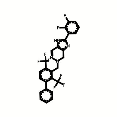 Fc1cccc(-c2nc3c([nH]2)C=NN(Cc2c(C(F)(F)F)ccc(-c4ccccc4)c2C(F)(F)F)C3)c1F